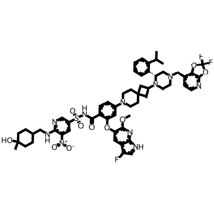 COc1nc2[nH]cc(F)c2cc1Oc1cc(N2CCC3(CC2)CC(N2CCN(Cc4ccnc5c4OC(F)(F)O5)C[C@H]2c2ccccc2C(C)C)C3)ccc1C(=O)NS(=O)(=O)c1cnc(NCC2CCC(C)(O)CC2)c([N+](=O)[O-])c1